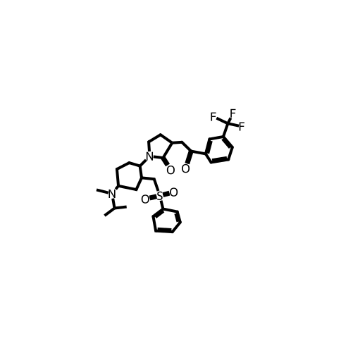 CC(C)N(C)C1CCC(N2CCC(CC(=O)c3cccc(C(F)(F)F)c3)C2=O)C(CS(=O)(=O)c2ccccc2)C1